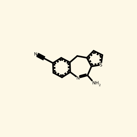 N#Cc1ccc2c(c1)Cc1ccsc1C(N)=N2